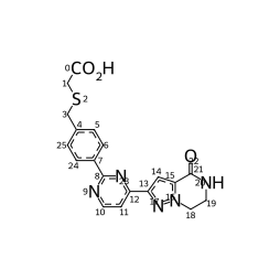 O=C(O)CSCc1ccc(-c2nccc(-c3cc4n(n3)CCNC4=O)n2)cc1